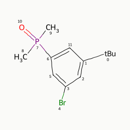 CC(C)(C)c1cc(Br)cc(P(C)(C)=O)c1